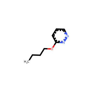 CCCCOc1cc[c]nn1